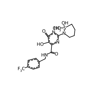 Cn1c(N2CCCCS2(O)O)nc(C(=O)NCc2ccc(C(F)(F)F)cc2)c(O)c1=O